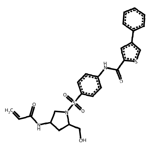 C=CC(=O)NC1CC(CO)N(S(=O)(=O)c2ccc(NC(=O)c3cc(-c4ccccc4)cs3)cc2)C1